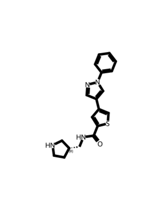 O=C(NC[C@@H]1CCNC1)c1cc(-c2cnn(-c3ccccc3)c2)cs1